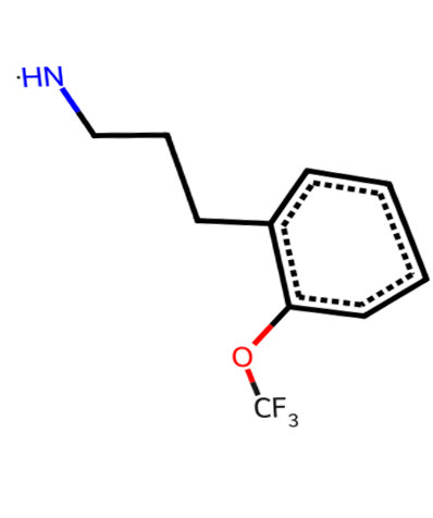 [NH]CCCc1ccccc1OC(F)(F)F